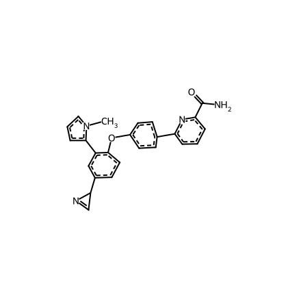 Cn1cccc1-c1cc(C2C=N2)ccc1Oc1ccc(-c2cccc(C(N)=O)n2)cc1